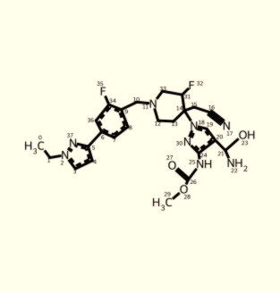 CCn1ccc(-c2ccc(CN3CCC(CC#N)(n4cc(C(N)O)c(NC(=O)OC)n4)C(F)C3)c(F)c2)n1